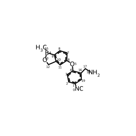 [C-]#[N+]c1ccc(Oc2ccc3c(c2)COB3C)c(CN)c1